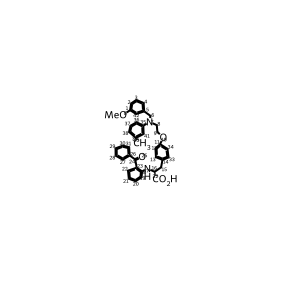 COc1cccc(CN(CCOc2ccc(C[C@H](Nc3ccccc3C(=O)c3ccccc3)C(=O)O)cc2)c2cccc(C)c2)c1